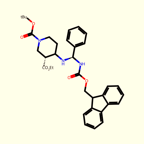 CCOC(=O)[C@@H]1CN(C(=O)OC(C)(C)C)CCC1N[C@H](NC(=O)OCC1c2ccccc2-c2ccccc21)c1ccccc1